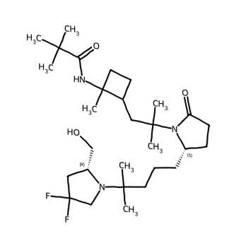 CC(C)(C)C(=O)NC1(C)CCC1CC(C)(C)N1C(=O)CC[C@@H]1CCCC(C)(C)N1CC(F)(F)C[C@@H]1CO